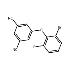 N#Cc1cc(C#N)cc(Oc2c(F)[c]ccc2Br)c1